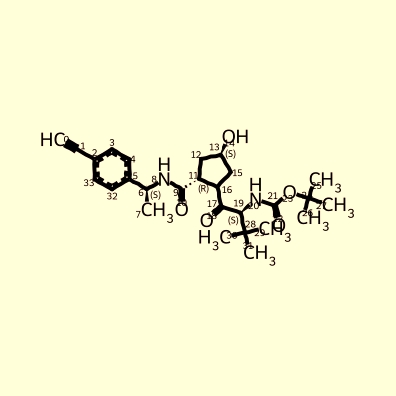 C#Cc1ccc([C@H](C)NC(=O)[C@@H]2C[C@@H](O)CC2C(=O)[C@@H](NC(=O)OC(C)(C)C)C(C)(C)C)cc1